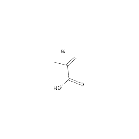 C=C(C)C(=O)O.[B]